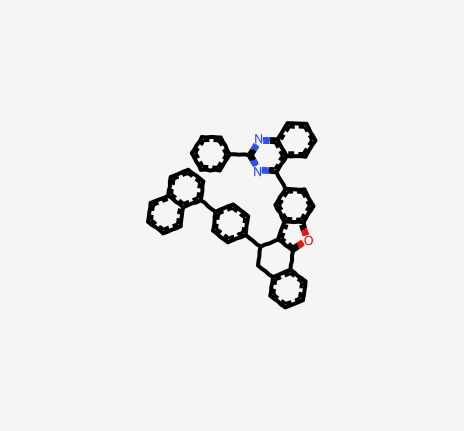 c1ccc(-c2nc(-c3ccc4oc5c(c4c3)C(c3ccc(-c4cccc6ccccc46)cc3)Cc3ccccc3-5)c3ccccc3n2)cc1